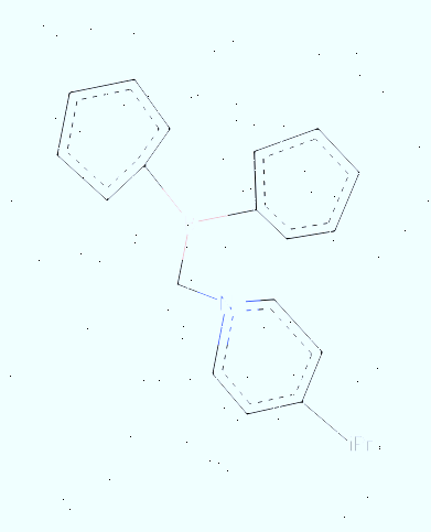 CC(C)c1cc[n+](CB(c2ccccc2)c2ccccc2)cc1